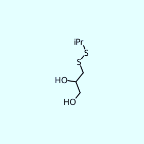 CC(C)SSCC(O)CO